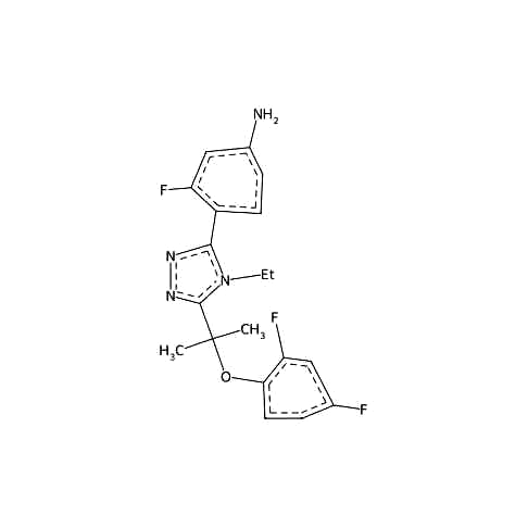 CCn1c(-c2ccc(N)cc2F)nnc1C(C)(C)Oc1ccc(F)cc1F